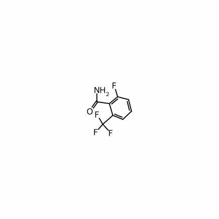 NC(=O)c1c(F)cccc1C(F)(F)F